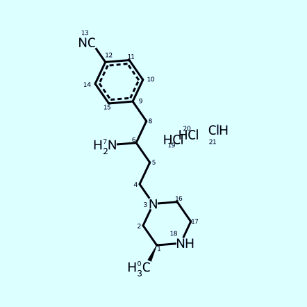 C[C@H]1CN(CCC(N)Cc2ccc(C#N)cc2)CCN1.Cl.Cl.Cl